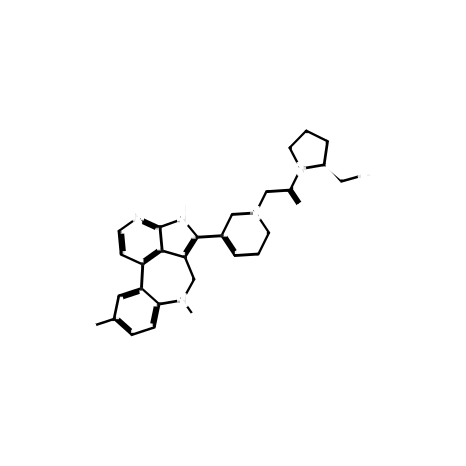 CN1Cc2c(C3=CCCN(CC(=O)N4CCC[C@H]4CO)C3)[nH]c3nccc(c23)-c2cc(F)ccc21